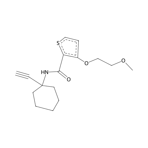 C#CC1(NC(=O)c2sccc2OCCOC)CCCCC1